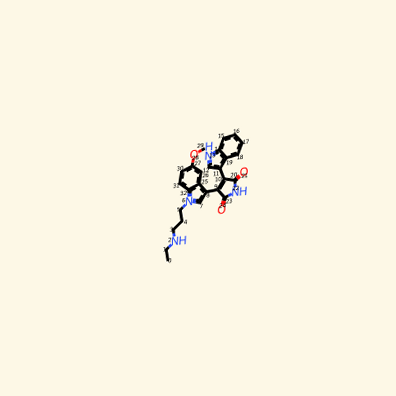 CCNCCCn1cc(C2=C(c3c[nH]c4ccccc34)C(=O)NC2=O)c2cc(OC)ccc21